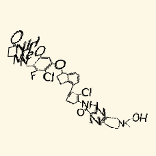 COc1cc(OC2CCc3c(-c4cccc(NC(=O)c5nc6c(n5C)CCN(C(C)CO)C6)c4Cl)cccc32)c(Cl)c(F)c1CNCC1CCC(=O)N1